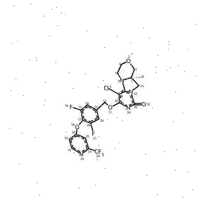 C[C@@]12COCCN1c1c(Cl)c(OCc3cc(F)c(Oc4ccnc(C(F)(F)F)c4)c(F)c3)nc(=O)n1C2